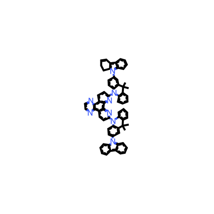 CC1(C)c2ccccc2N(c2ccc3c4nccnc4c4ccc(N5c6ccccc6C(C)(C)c6cc(-n7c8ccccc8c8ccccc87)ccc65)nc4c3n2)c2ccc(-n3c4c(c5ccccc53)C=CCC4)cc21